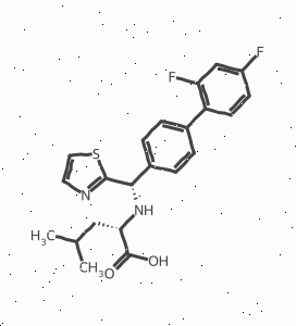 CC(C)C[C@H](N[C@@H](c1ccc(-c2ccc(F)cc2F)cc1)c1nccs1)C(=O)O